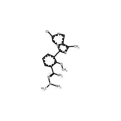 COc1c(/C(N)=N/N(C)N)cccc1-c1nc(C)c2cnc(Cl)cn12